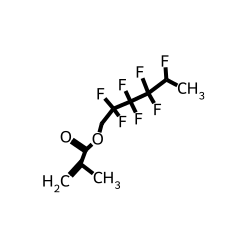 C=C(C)C(=O)OCC(F)(F)C(F)(F)C(F)(F)C(C)F